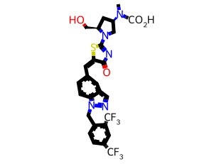 CN(C(=O)O)[C@@H]1C[C@H](CO)N(C2=NC(=O)C(=Cc3ccc4c(cnn4Cc4ccc(C(F)(F)F)cc4C(F)(F)F)c3)S2)C1